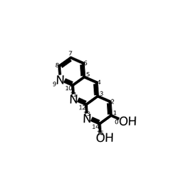 Oc1cc2cc3cccnc3nc2nc1O